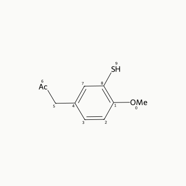 COc1ccc(CC(C)=O)cc1S